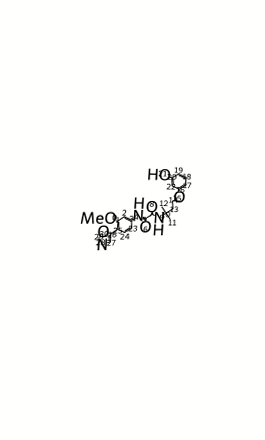 COc1cc(NC(=O)C(=O)NC(C)(C)CCOc2cccc(O)c2)ccc1-c1cnco1